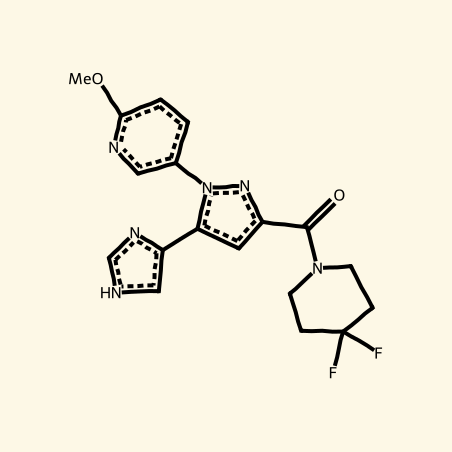 COc1ccc(-n2nc(C(=O)N3CCC(F)(F)CC3)cc2-c2c[nH]cn2)cn1